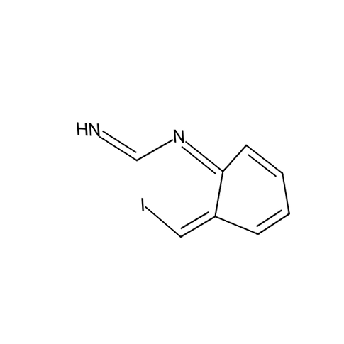 N=C/N=C1/C=CC=C/C1=C/I